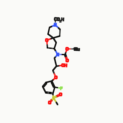 CC(C)(C)OC(=O)N(CC(O)COc1cccc(S(C)(=O)=O)c1F)C1COC2(CCN(C(=O)O)CC2)C1